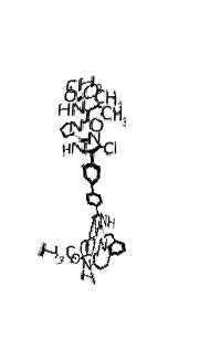 COC(=O)N[C@H]1CCc2cccc3c2N(C1=O)[C@H](c1ncc(-c2ccc(-c4ccc(-c5[nH]c([C@@H]6CCCN6C(=O)[C@@H](NC(=O)OC)C(C)C)nc5Cl)cc4)cc2)[nH]1)C3